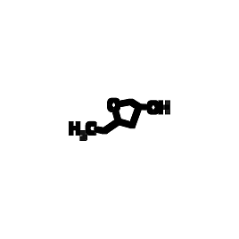 CCC1CC(O)CO1